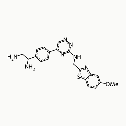 COc1ccc2sc(CNc3nncc(-c4ccc(C(N)CN)cc4)n3)nc2c1